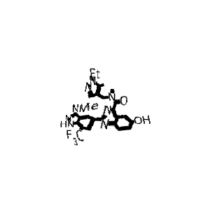 CCn1ncc(CN(C)C(=O)c2nc(-c3cc(C(F)(F)F)c4[nH]nc(NC)c4c3)nc3ccc(O)cc23)c1C